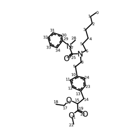 CCCCCCCN(CCc1ccc(CC(OCC)C(=O)OC)cc1)C(=O)N(C)c1ccccc1